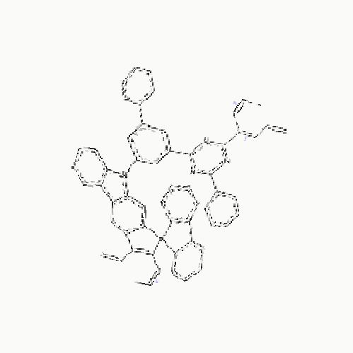 C=C/C=C(\C=C/C)c1nc(-c2ccccc2)nc(-c2cc(-c3ccccc3)cc(-n3c4ccccc4c4cc5c(cc43)C3(C(/C=C\C)=C5C=C)c4ccccc4-c4ccccc43)c2)n1